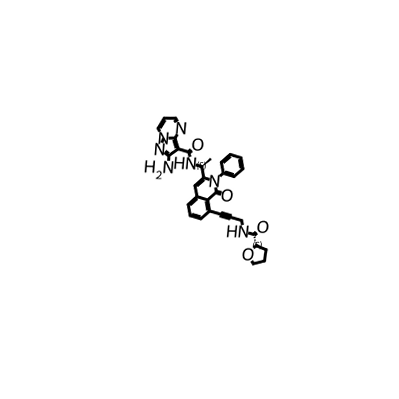 C[C@H](NC(=O)c1c(N)nn2cccnc12)c1cc2cccc(C#CCNC(=O)[C@@H]3CCCO3)c2c(=O)n1-c1ccccc1